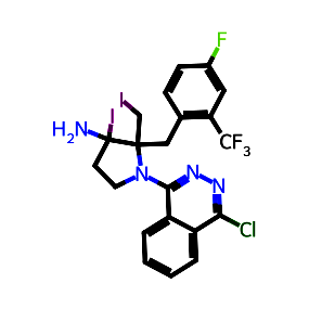 NC1(I)CCN(c2nnc(Cl)c3ccccc23)C1(CI)Cc1ccc(F)cc1C(F)(F)F